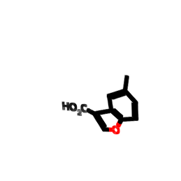 Cc1ccc2occ(C(=O)O)c2c1